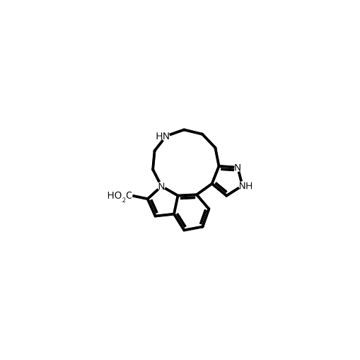 O=C(O)c1cc2cccc3c2n1CCNCCCc1n[nH]cc1-3